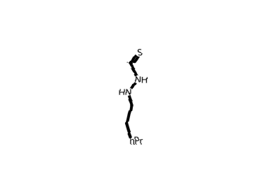 CCCCCNN[C]=S